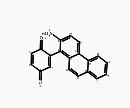 O=C1C=CC(=O)C(c2c(S(=O)(=O)O)ccc3c2ccc2ccccc23)=C1